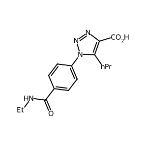 CCCc1c(C(=O)O)nnn1-c1ccc(C(=O)NCC)cc1